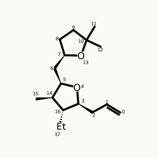 C=CC[C@@H]1O[C@H](C[C@H]2CCC(C)(C)O2)[C@H](C)[C@H]1CC